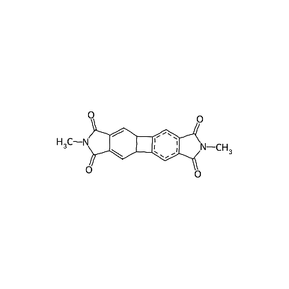 CN1C(=O)C2=CC3c4cc5c(cc4C3C=C2C1=O)C(=O)N(C)C5=O